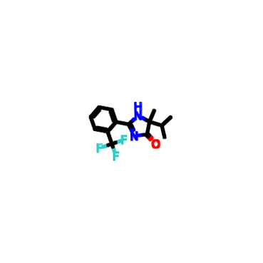 CC(C)C1(C)NC(c2ccccc2C(F)(F)F)=NC1=O